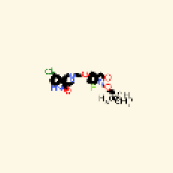 C[Si](C)(C)CCOCN1C(=O)Cc2cc(OCCN3CCC4(CC3)C(=O)Nc3ccc(Cl)cc34)cc(F)c21